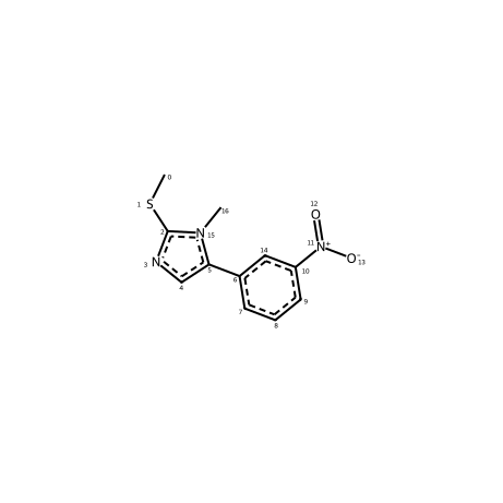 CSc1ncc(-c2cccc([N+](=O)[O-])c2)n1C